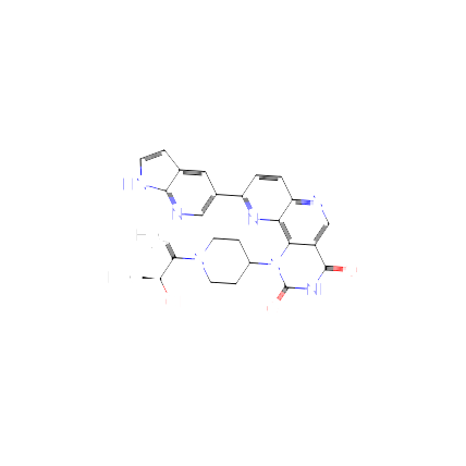 C=C([C@H](C)O)N1CCC(n2c(=O)[nH]c(=O)c3cnc4ccc(-c5cnc6[nH]ccc6c5)nc4c32)CC1